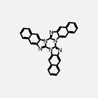 c1ccc2cc3c(cc2c1)nc1n3c2nc3cc4ccccc4cc3n2c2nc3cc4ccccc4cc3n12